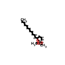 CCCCCCCCCCCCC1CCC[Si](OC)(OC)O1